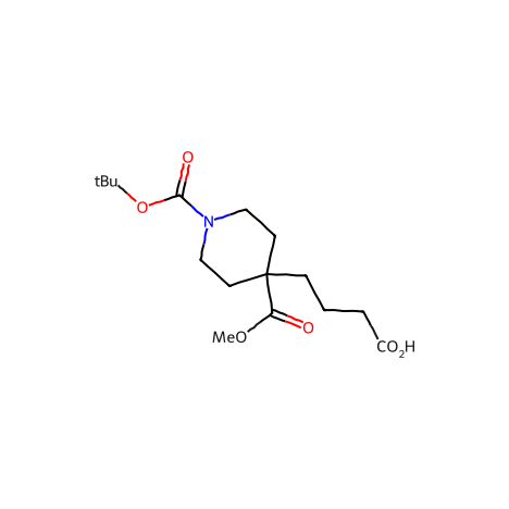 COC(=O)C1(CCCC(=O)O)CCN(C(=O)OC(C)(C)C)CC1